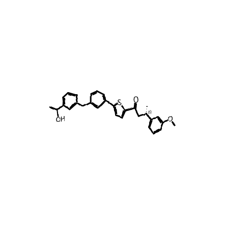 COc1cccc([C@@H](C)CC(=O)c2ccc(-c3cccc(Cc4cccc(C(C)O)c4)c3)s2)c1